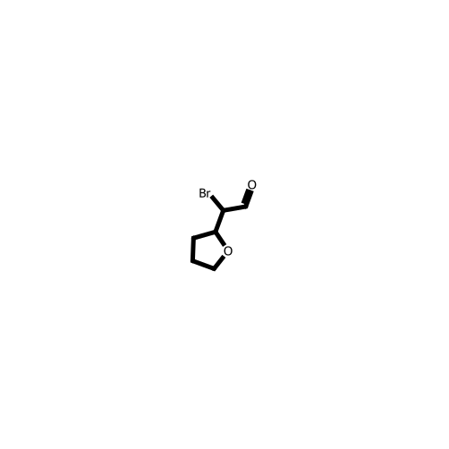 O=CC(Br)C1CCCO1